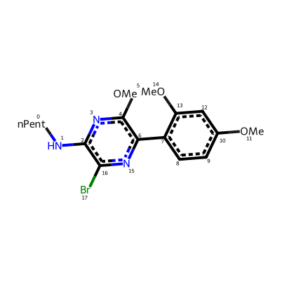 CCCCCNc1nc(OC)c(-c2ccc(OC)cc2OC)nc1Br